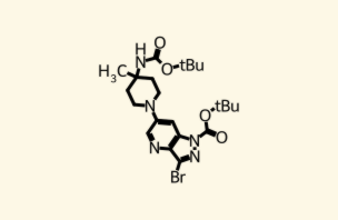 CC1(NC(=O)OC(C)(C)C)CCN(c2cnc3c(Br)nn(C(=O)OC(C)(C)C)c3c2)CC1